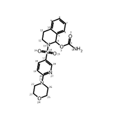 NC(=O)OC1c2ccccc2CCN1S(=O)(=O)c1ccc(N2CCOCC2)nc1